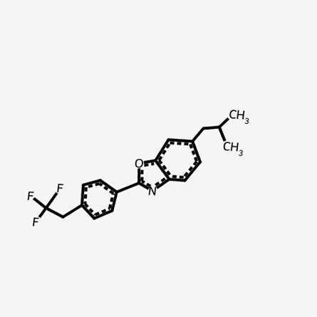 CC(C)Cc1ccc2nc(-c3ccc(CC(F)(F)F)cc3)oc2c1